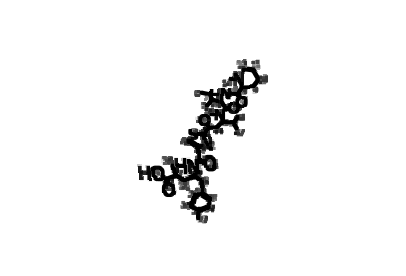 CCC(C)C(NC(=O)C1CCCCN1C)C(=O)N1COC(c2nc(C(=O)NC(Cc3ccc(C)cc3)CC(C)C(=O)O)cs2)CC1C(C)C